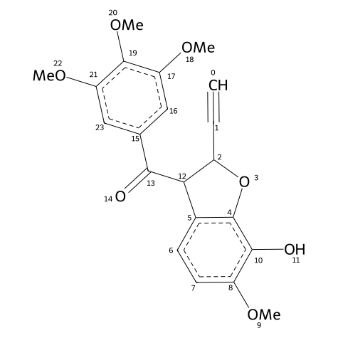 C#CC1Oc2c(ccc(OC)c2O)C1C(=O)c1cc(OC)c(OC)c(OC)c1